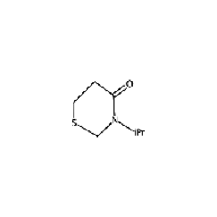 CC(C)N1CSCCC1=O